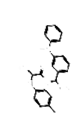 Cc1ccc(NC(C(=O)OC(C#N)c2cccc(Nc3ccccc3)c2)C(C)C)cc1